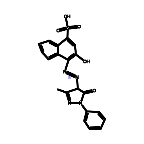 CC1=NN(c2ccccc2)C(=O)C1/N=N/c1c(O)cc(S(=O)(=O)O)c2ccccc12